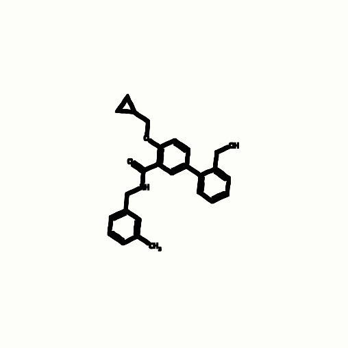 Cc1cccc(CNC(=O)c2cc(-c3ccccc3CO)ccc2OCC2CC2)c1